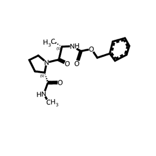 CNC(=O)[C@@H]1CCCN1C(=O)[C@H](C)NC(=O)OCc1ccccc1